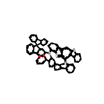 c1ccc(-c2ccccc2N(c2ccc3c(c2)C2(c4ccccc4-c4ccccc42)c2ccccc2-3)c2cccc3c2oc2c(-n4c5ccccc5c5ccccc54)c4c(cc23)oc2ccccc24)cc1